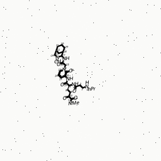 CCCNCCC(=O)N[C@@H](CCC(=O)C(=O)NC)C(=O)Nc1cccn(CC(=O)NC2C3CCCC(C3)CN2C)c1=O